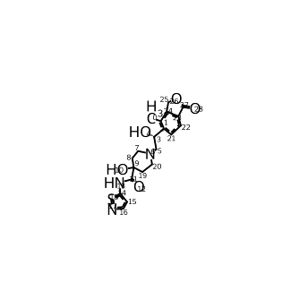 Cc1c([C@@H](O)CN2CCC(O)(C(=O)Nc3ccns3)CC2)ccc2c1COC2=O